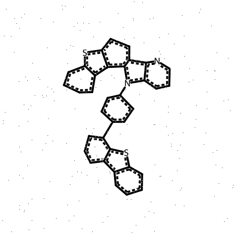 c1ccc2c(c1)sc1c(-c3ccc(-n4c5cccnc5c5ccc6sc7ccccc7c6c54)cc3)cccc12